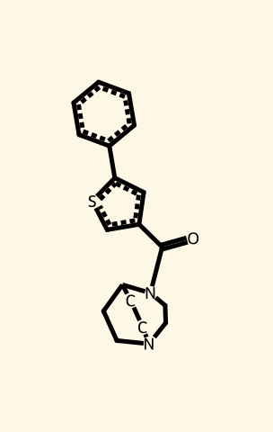 O=C(c1csc(-c2ccccc2)c1)N1CCN2CCC1CC2